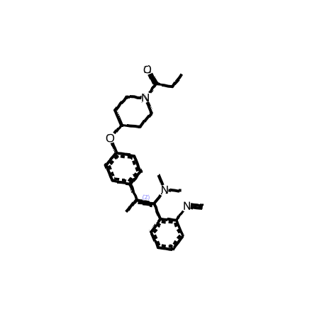 C=Nc1ccccc1/C(=C(\C)c1ccc(OC2CCN(C(=O)CC)CC2)cc1)N(C)C